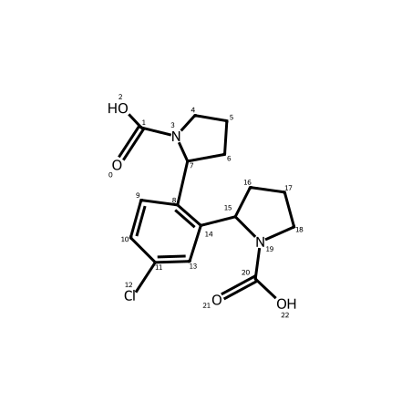 O=C(O)N1CCCC1c1ccc(Cl)cc1C1CCCN1C(=O)O